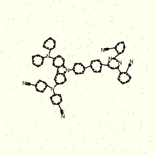 N#Cc1ccc(N(c2ccc(C#N)cc2)c2ccc3c(c2)c2cc(N(c4ccccc4)c4ccccc4)ccc2n3-c2ccc(-c3ccc(-c4cc(-c5ccccc5C#N)nc(-c5ccccc5C#N)n4)cc3)cc2)cc1